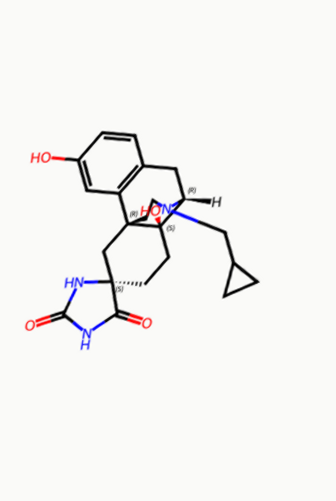 O=C1NC(=O)[C@@]2(CC[C@@]3(O)[C@H]4Cc5ccc(O)cc5[C@@]3(CCN4CC3CC3)C2)N1